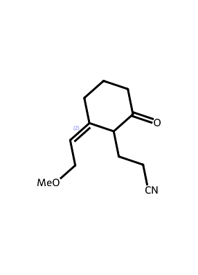 COC/C=C1/CCCC(=O)C1CCC#N